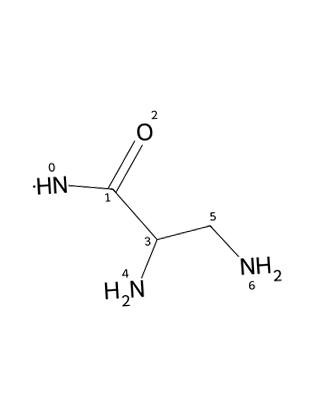 [NH]C(=O)C(N)CN